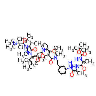 CC[C@H](C)[C@@H]([C@@H](CC(=O)N1CCC[C@H]1[C@H](OC)[C@@H](C)C(=O)N(C)CCc1cccc(NC(=O)[C@H](C)NC(=O)[C@H](C)NC(=O)OC(C)(C)C)c1)OC)N(C)C(=O)[C@@H](NC(=O)C(C)(C)N(C)C)C(C)C